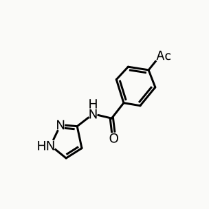 CC(=O)c1ccc(C(=O)Nc2cc[nH]n2)cc1